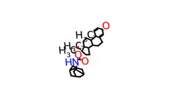 CC[C@]1(OC(=O)NC23CC4CC(CC(C4)C2)C3)CCC2C3CCC4=CC(=O)C=C[C@]4(C)C3CC[C@@]21C